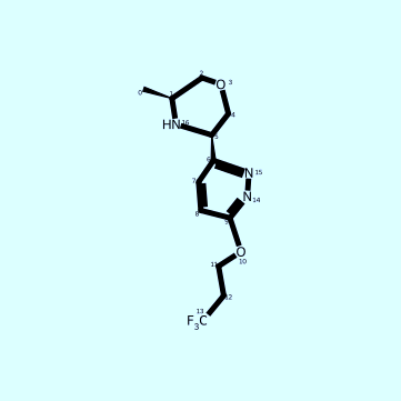 C[C@H]1COC[C@@H](c2ccc(OCCC(F)(F)F)nn2)N1